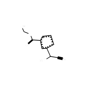 CCOC(=O)c1cccc(C(C)C#N)c1